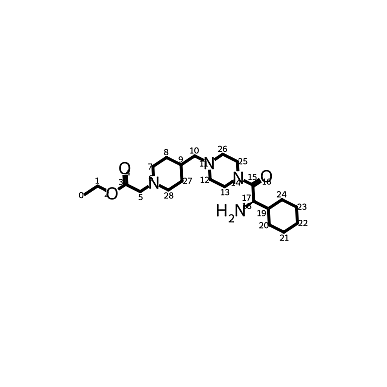 CCOC(=O)CN1CCC(CN2CCN(C(=O)[C@H](N)C3CCCCC3)CC2)CC1